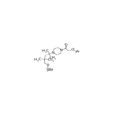 CSOCC(C)(C)CC(C)(C)N1CCN(C(=O)COC(C)C)CC1